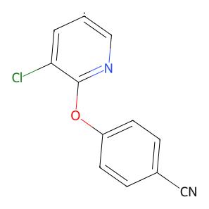 N#Cc1ccc(Oc2nc[c]cc2Cl)cc1